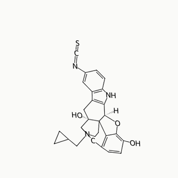 Oc1ccc2c3c1O[C@@H]1c4[nH]c5ccc(N=C=S)cc5c4C[C@]4(O)C(C2)N(CC2CC2)CCC314